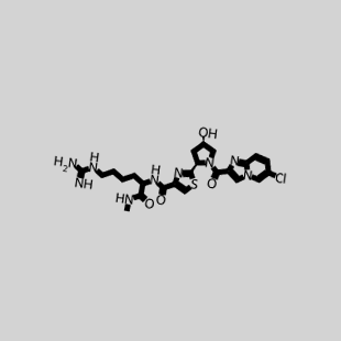 CNC(=O)C(CCCCNC(=N)N)NC(=O)c1csc([C@H]2C[C@H](O)CN2C(=O)c2cn3cc(Cl)ccc3n2)n1